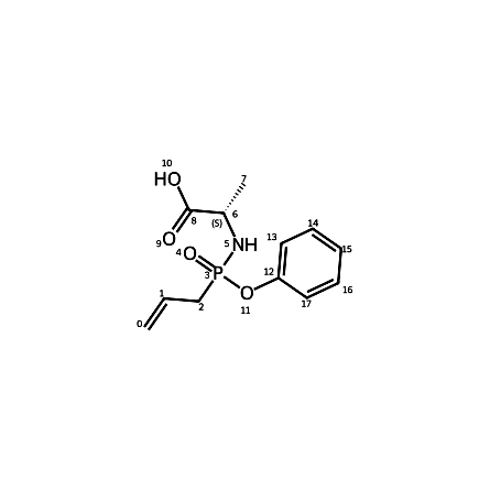 C=CCP(=O)(N[C@@H](C)C(=O)O)Oc1ccccc1